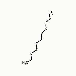 CCSSCCCSSCC